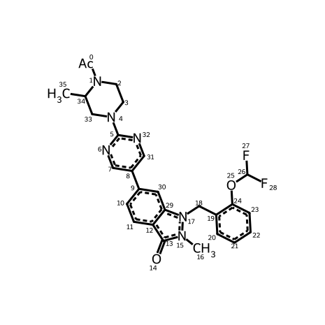 CC(=O)N1CCN(c2ncc(-c3ccc4c(=O)n(C)n(Cc5ccccc5OC(F)F)c4c3)cn2)CC1C